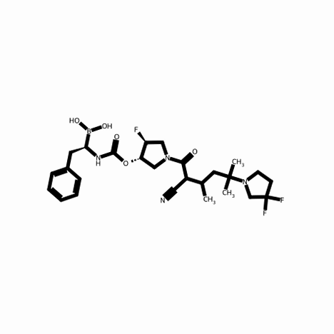 CC(CC(C)(C)N1CCC(F)(F)C1)C(C#N)C(=O)N1C[C@H](OC(=O)N[C@@H](Cc2ccccc2)B(O)O)[C@@H](F)C1